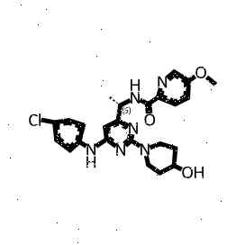 COc1ccc(C(=O)N[C@@H](C)c2cc(Nc3ccc(Cl)cc3)nc(N3CCC(O)CC3)n2)nc1